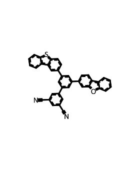 N#Cc1cc(C#N)cc(-c2cc(-c3ccc4c(c3)oc3ccccc34)cc(-c3ccc4sc5ccccc5c4c3)c2)c1